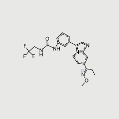 CC/C(=N\OC)c1ccn2c(-c3cccc(NC(=O)NCC(F)(F)F)c3)cnc2c1